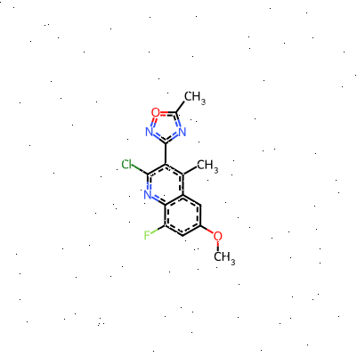 COc1cc(F)c2nc(Cl)c(-c3noc(C)n3)c(C)c2c1